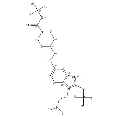 CN(C)CCn1c(CC(C)(C)C)nc2cc(SCC3CCN(C(=O)OC(C)(C)C)CC3)ccc21